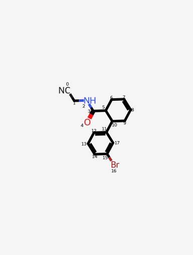 N#CCNC(=O)C1CC=CCC1c1cccc(Br)c1